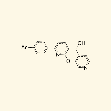 CC(=O)c1ccc(-c2ccc3c(n2)Oc2cnccc2C3O)cc1